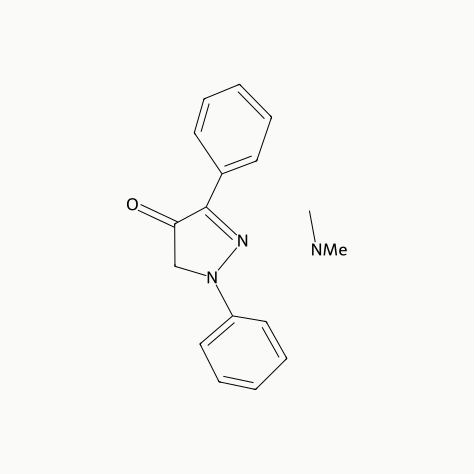 CNC.O=C1CN(c2ccccc2)N=C1c1ccccc1